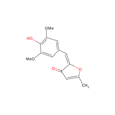 COc1cc(C=C2OC(C)=CC2=O)cc(OC)c1O